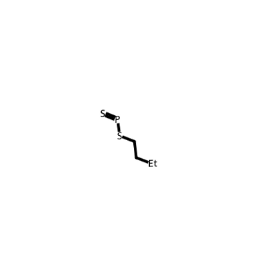 CCCCSP=S